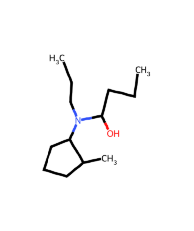 CCCC(O)N(CCC)C1CCCC1C